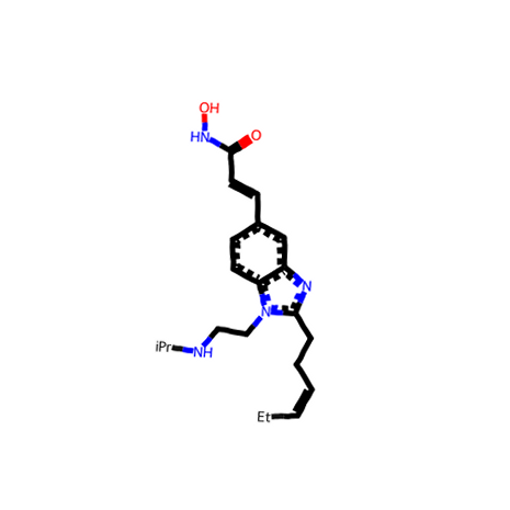 CC/C=C\CCc1nc2cc(/C=C/C(=O)NO)ccc2n1CCNC(C)C